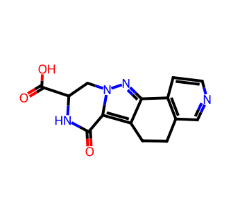 O=C1NC(C(=O)O)Cn2nc3c(c21)CCc1cnccc1-3